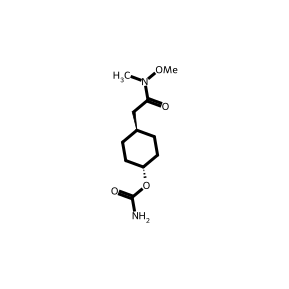 CON(C)C(=O)C[C@H]1CC[C@H](OC(N)=O)CC1